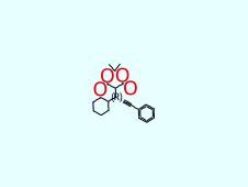 CC1(C)OC(=O)C([C@H](C#Cc2ccccc2)C2CCCCC2)C(=O)O1